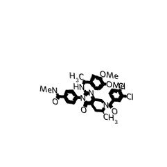 CNC(=O)c1ccc(-n2c(NC(C)c3ccc(OC)c(OC)c3)nc3c(c2=O)C[C@@H](C)N(C(=O)c2ccc(Cl)c(Cl)c2)C3)cc1